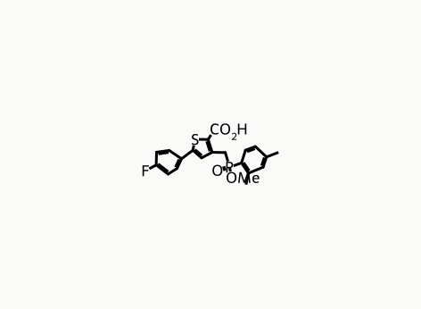 COP(=O)(Cc1cc(-c2ccc(F)cc2)sc1C(=O)O)c1ccc(C)cc1C